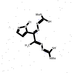 CCn1nccc1C(=N\N=C(/S)NC)/C(C)=N/N=C(\S)NC